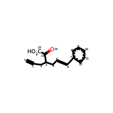 C#CCC(CC=Cc1ccccc1)C(=O)C(=O)O